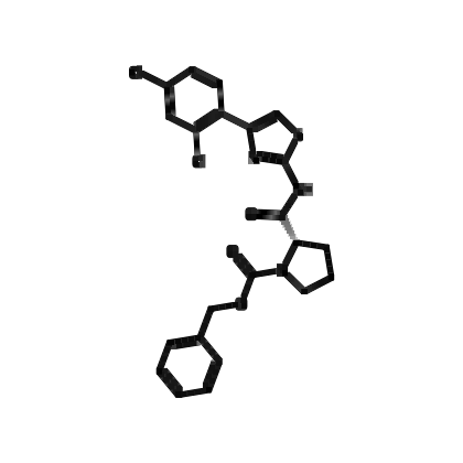 O=C(Nc1nc(-c2ccc(Cl)cc2Cl)cs1)[C@@H]1CCCN1C(=O)OCc1ccccc1